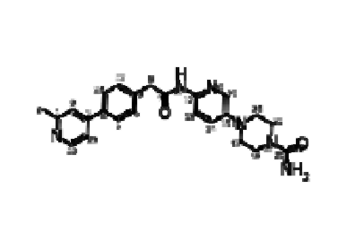 Cc1cc(-c2ccc(CC(=O)Nc3ccc(N4CCN(C(N)=O)CC4)cn3)cc2)ccn1